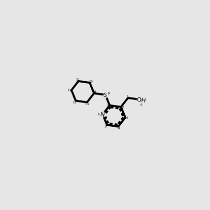 OCc1cccnc1SC1CCCCC1